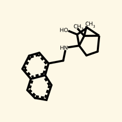 CC1(C)C2CCC1(NCc1cccc3ccccc13)C(O)C2